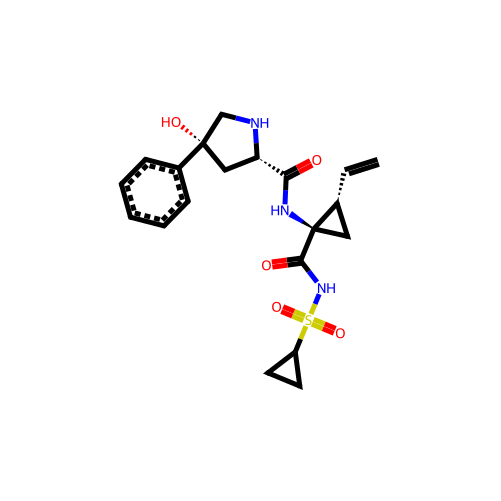 C=C[C@@H]1C[C@]1(NC(=O)[C@@H]1C[C@@](O)(c2ccccc2)CN1)C(=O)NS(=O)(=O)C1CC1